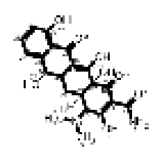 CN(C)C1C(O)=C(C(N)=O)C(=O)[C@]2(O)C(O)=C3C(=O)c4c(O)cccc4[C@@H](O)C3C[C@H]12